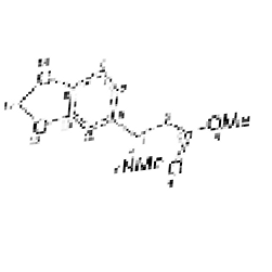 CN[C@@H](CC(=O)OC)c1ccc2c(c1)OCO2